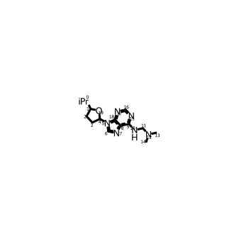 CC(C)C1CCC(n2cnc3c(NCN(C)C)ncnc32)O1